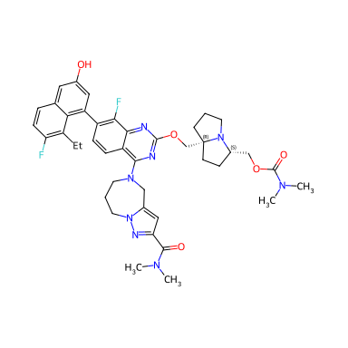 CCc1c(F)ccc2cc(O)cc(-c3ccc4c(N5CCCn6nc(C(=O)N(C)C)cc6C5)nc(OC[C@]56CCCN5[C@H](COC(=O)N(C)C)CC6)nc4c3F)c12